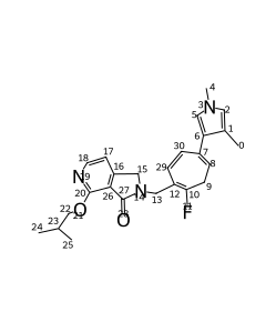 Cc1cn(C)cc1C1=CCC(F)=C(CN2Cc3ccnc(OCC(C)C)c3C2=O)C=C1